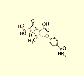 C[C@@H](O)[C@H]1C(=O)N2C(C(=O)O)=C(COc3ccc(C(N)=O)cc3)[C@H](C)[C@H]12